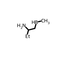 CBCC(N)CC